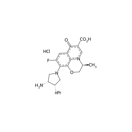 CCC[C@H]1CN(c2c(F)cc3c(=O)c(C(=O)O)cn4c3c2OC[C@@H]4C)C[C@H]1N.Cl